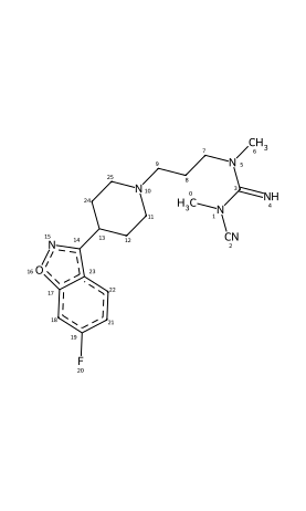 CN(C#N)C(=N)N(C)CCCN1CCC(c2noc3cc(F)ccc23)CC1